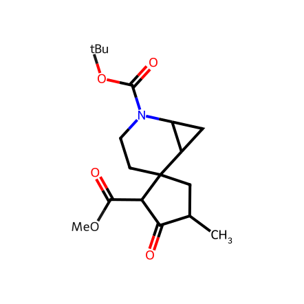 COC(=O)C1C(=O)C(C)CC12CCN(C(=O)OC(C)(C)C)C1CC12